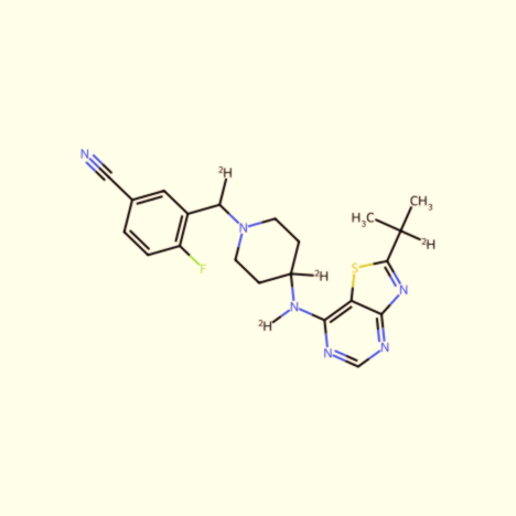 [2H]C(c1cc(C#N)ccc1F)N1CCC([2H])(N([2H])c2ncnc3nc(C([2H])(C)C)sc23)CC1